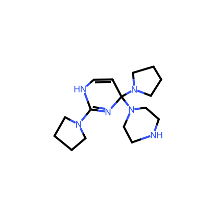 C1=CC(N2CCCC2)(N2CCNCC2)N=C(N2CCCC2)N1